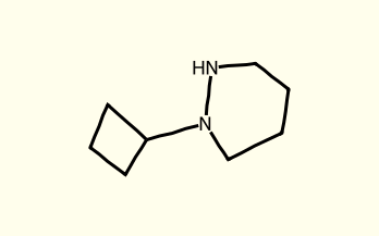 C1CCN(C2CCC2)NC1